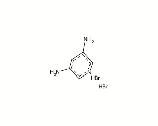 Br.Br.Nc1cncc(N)c1